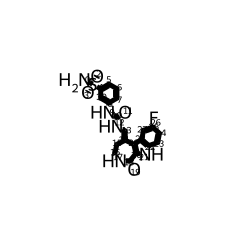 NS(=O)(=O)c1cccc(NC(=O)N/C=C2\CCNC(=O)c3[nH]c4ccc(F)cc4c32)c1